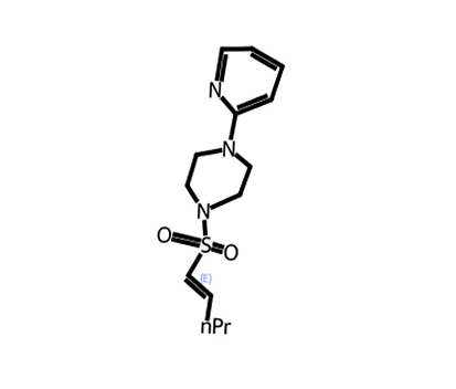 CCC/C=C/S(=O)(=O)N1CCN(c2ccccn2)CC1